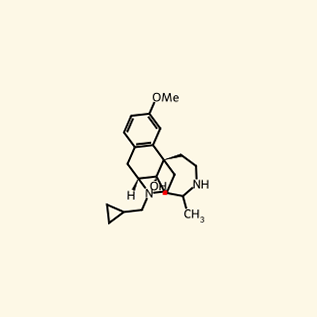 COc1ccc2c(c1)[C@@]13CCNC(C)C[C@@]1(O)[C@@H](C2)N(CC1CC1)CC3